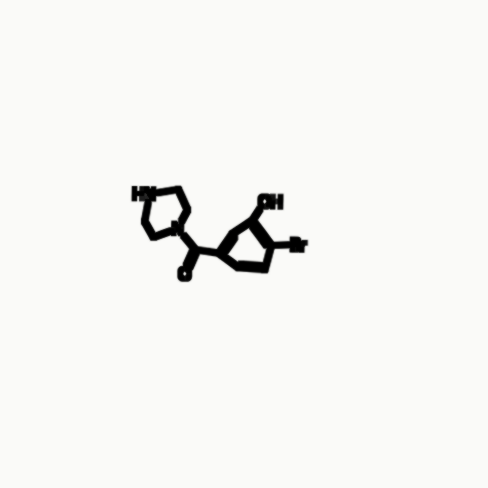 O=C(c1ccc(Br)c(O)c1)N1CCNCC1